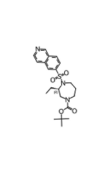 CC[C@@H]1CN(C(=O)OC(C)(C)C)CCCN1S(=O)(=O)c1ccc2cnccc2c1